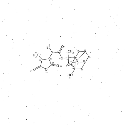 CCC(C(=O)OC(C)(C)C12CC3CC(CC(O)(C3)C1)C2)C1C(=O)OC(=O)C1C